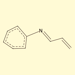 C=CC=Nc1ccccc1